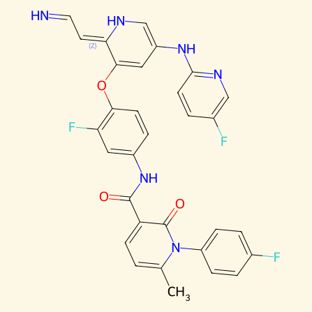 Cc1ccc(C(=O)Nc2ccc(OC3=CC(Nc4ccc(F)cn4)=CN/C3=C\C=N)c(F)c2)c(=O)n1-c1ccc(F)cc1